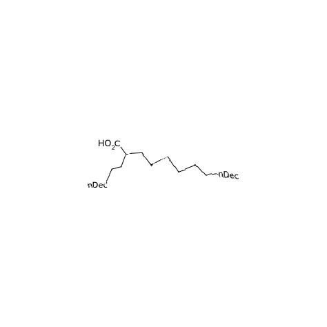 CCCCCCCCCCCCCCCCC(CCCCCCCCCCCC)C(=O)O